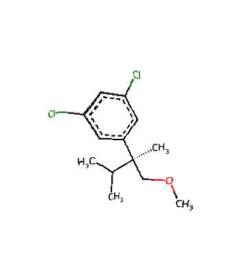 COC[C@](C)(c1cc(Cl)cc(Cl)c1)C(C)C